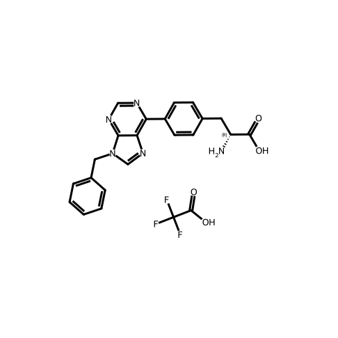 N[C@H](Cc1ccc(-c2ncnc3c2ncn3Cc2ccccc2)cc1)C(=O)O.O=C(O)C(F)(F)F